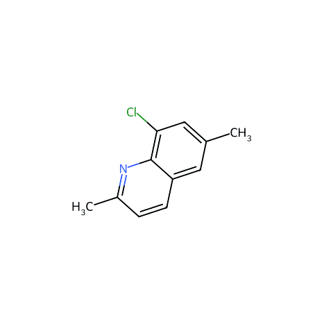 Cc1cc(Cl)c2nc(C)ccc2c1